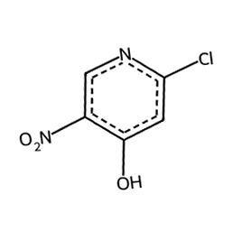 O=[N+]([O-])c1cnc(Cl)cc1O